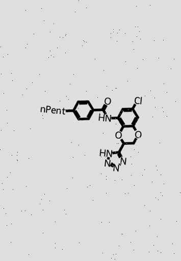 CCCCCc1ccc(C(=O)Nc2cc(Cl)cc3c2OC(c2nnn[nH]2)CO3)cc1